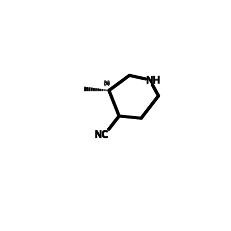 C[C@@H]1CNCCC1C#N